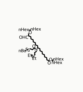 CCCCCCC(CCCCCC)OCC(C=O)CCCCCCCC(CCCCCCCCC(=O)OC(CCCCCC)CCCCCC)N(CCCN(CC)CC)C(=O)CCSSCCCC